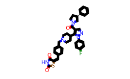 O=C1NC(=O)/C(=C\c2ccc(CN3CCC(c4c(C(=O)N5CC[C@H](c6ccccc6)C5)cnn4-c4ccc(F)cc4)CC3)cc2)S1